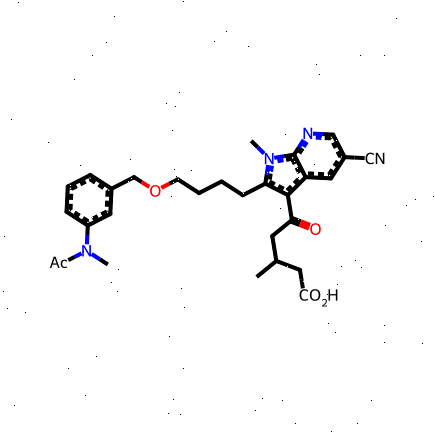 CC(=O)N(C)c1cccc(COCCCCc2c(C(=O)CC(C)CC(=O)O)c3cc(C#N)cnc3n2C)c1